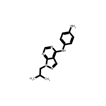 CC(C)Cn1ncc2c(Nc3ccc(N)cc3)ncnc21